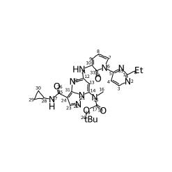 CCc1nccc(-n2cccc(Nc3cc(N(C)C(=O)OC(C)(C)C)n4ncc(C(=O)NC5CC5)c4n3)c2=O)n1